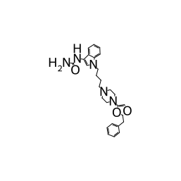 NC(=O)Nc1cn(CCCCN2CCN(C3=COC(Cc4ccccc4)O3)CC2)c2ccccc12